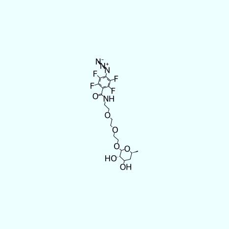 C[C@H]1CC(O)[C@H](O)C(OCCOCCOCCNC(=O)c2c(F)c(F)c(N=[N+]=[N-])c(F)c2F)O1